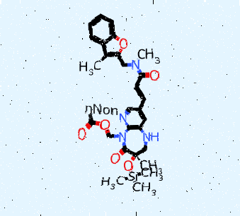 CCCCCCCCCC(=O)OCN1C(=O)[C@](C)(O[Si](C)(C)C)CNc2cc(/C=C/C(=O)N(C)Cc3oc4ccccc4c3C)cnc21